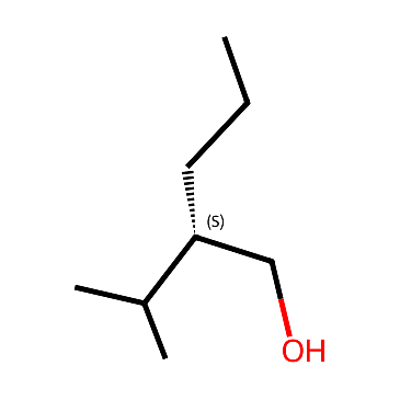 CCC[C@H](CO)C(C)C